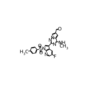 CNc1nc(-c2cn(S(=O)(=O)c3ccc(C)cc3)c3ncc(F)cc23)nn2cc(C=O)cc12